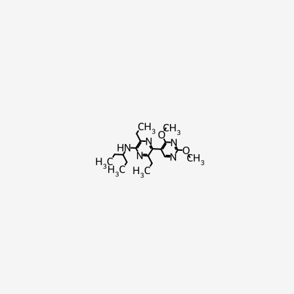 CCc1nc(-c2cnc(OC)nc2OC)c(CC)nc1NC(CC)CC